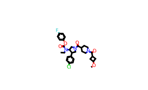 CCN(C(=O)Oc1ccc(F)cc1)C1CN(C(=O)C2CCN(C(=O)C3CC(OC)C3)CC2)CC1c1ccc(Cl)cc1